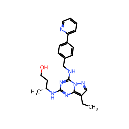 CCc1cnn2c(NCc3ccc(-c4ccccn4)cc3)nc(N[C@H](C)CCO)nc12